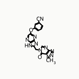 Cn1nnc2ncn(Cc3nc4nc(Oc5cccc(C#N)c5)cnc4[nH]3)c(=O)c21